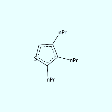 CCCc1csc(CCC)c1CCC